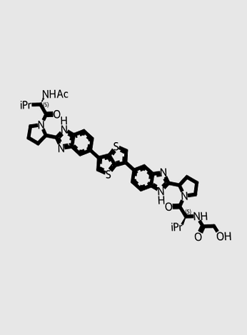 CC(=O)N[C@H](C(=O)N1CCCC1c1nc2cc(-c3csc4c(-c5ccc6[nH]c(C7CCCN7C(=O)[C@@H](NC(=O)CO)C(C)C)nc6c5)csc34)ccc2[nH]1)C(C)C